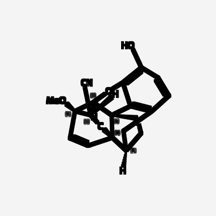 CO[C@]12C=C[C@@]3(C[C@H]1C#N)[C@@H]1CCC[C@@]34c3c(ccc(O)c3O[C@@H]24)C1